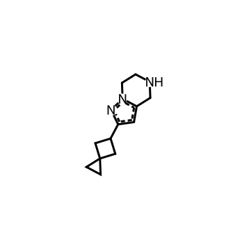 c1c(C2CC3(CC3)C2)nn2c1CNCC2